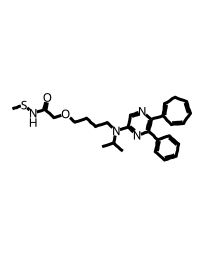 CSNC(=O)COCCCCN(c1cnc(C2=CCC=CC=C2)c(-c2ccccc2)n1)C(C)C